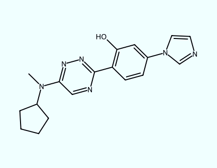 CN(c1cnc(-c2ccc(-n3ccnc3)cc2O)nn1)C1CCCC1